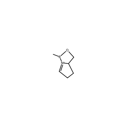 CB1OCC2CCC=[N+]12